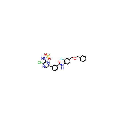 CS(=O)(=O)Nc1nc(-c2cccc(C(=O)Nc3ccc(COCc4ccccc4)cc3F)c2)cnc1Cl